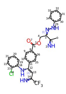 CC(=N)/C(COC(=O)c1ccc(/C(=C/C(=N)C(F)(F)F)Nc2ccccc2Cl)cc1)=N\Nc1ccccc1